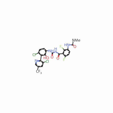 CNC(=O)Nc1ccc(F)c(C(=O)NC(=O)Nc2ccc(Cl)c(-c3ncc(C(F)(F)F)cc3Cl)c2O)c1F